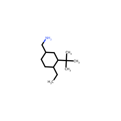 CCC1CCC(CN)CC1C(C)(C)C